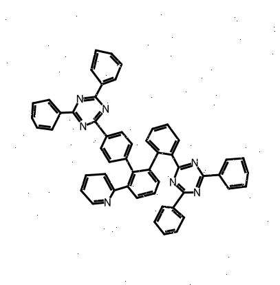 c1ccc(-c2nc(-c3ccccc3)nc(-c3ccc(-c4c(-c5ccccn5)cccc4-c4ccccc4-c4nc(-c5ccccc5)nc(-c5ccccc5)n4)cc3)n2)cc1